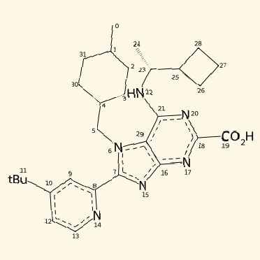 CC1CCC(Cn2c(-c3cc(C(C)(C)C)ccn3)nc3nc(C(=O)O)nc(N[C@H](C)C4CCC4)c32)CC1